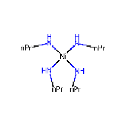 CCC[NH][Ni]([NH]CCC)([NH]CCC)[NH]CCC